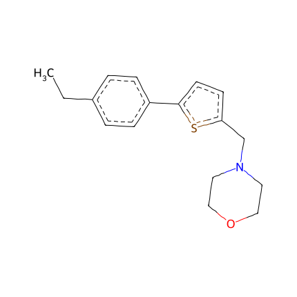 CCc1ccc(-c2ccc(CN3CCOCC3)s2)cc1